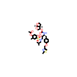 CC(=O)Oc1ccc(S(=O)(=O)N(CC(C)C)C[C@@H](O)[C@H](Cc2ccc(OCc3csc(C)n3)cc2)NC(=O)O[C@H]2CO[C@H]3OCC[C@H]32)cc1C